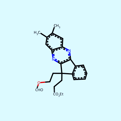 CCOC(=O)CCC1(CCOC=O)c2ccccc2-c2nc3cc(C)c(C)cc3nc21